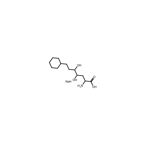 NC(CC(O)C(O)CCC1CCCCC1)C(=O)O.[NaH]